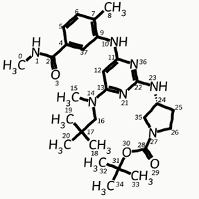 CNC(=O)c1ccc(C)c(Nc2cc(N(C)CC(C)(C)C)nc(N[C@@H]3CCN(C(=O)OC(C)(C)C)C3)n2)c1